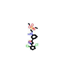 CCOP(=O)(CCNc1cccc(-c2cc(-c3c(Cl)cccc3Cl)no2)c1)OCC